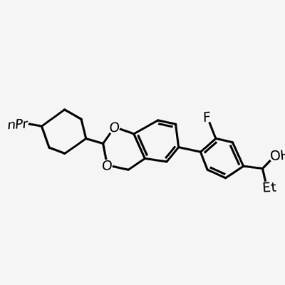 CCCC1CCC(C2OCc3cc(-c4ccc(C(O)CC)cc4F)ccc3O2)CC1